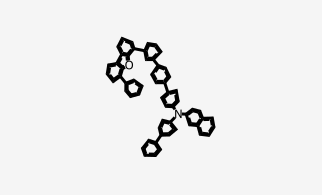 c1ccc(-c2ccc(N(c3ccc(-c4ccc(-c5cccc(-c6cccc7c6oc6c(-c8ccccc8)cccc67)c5)cc4)cc3)c3ccc4ccccc4c3)cc2)cc1